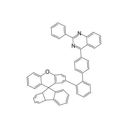 C1=CC2c3ccccc3C3(c4ccccc4Oc4ccc(-c5ccccc5-c5ccc(-c6nc(-c7ccccc7)nc7ccccc67)cc5)cc43)C2C=C1